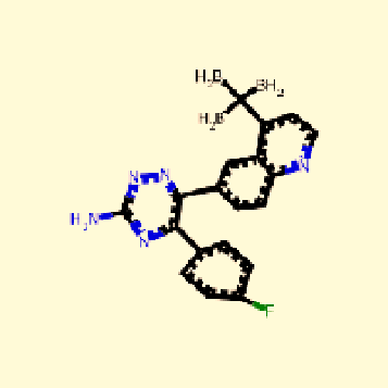 BC(B)(B)c1ccnc2ccc(-c3nnc(N)nc3-c3ccc(F)cc3)cc12